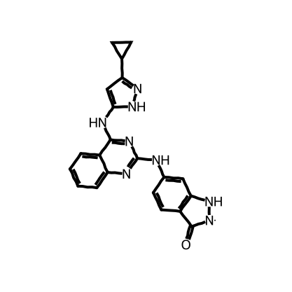 O=C1[N]Nc2cc(Nc3nc(Nc4cc(C5CC5)n[nH]4)c4ccccc4n3)ccc21